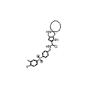 Cc1cc(S(=O)(=O)c2ccc(CNC(=O)c3cc4c([nH]3)CC3(CCCCCCCCC3)NC4)cc2)ccc1F